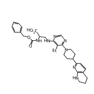 CCc1c(NCC(NC(=O)OCc2ccccc2)C(=O)O)ncnc1N1CCC(c2ccc3c(n2)NCCC3)CC1